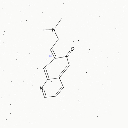 CN(C)C/C=C1/C=c2ncccc2=CC1=O